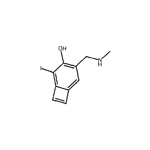 CNCc1cc2c(c(I)c1O)C=C2